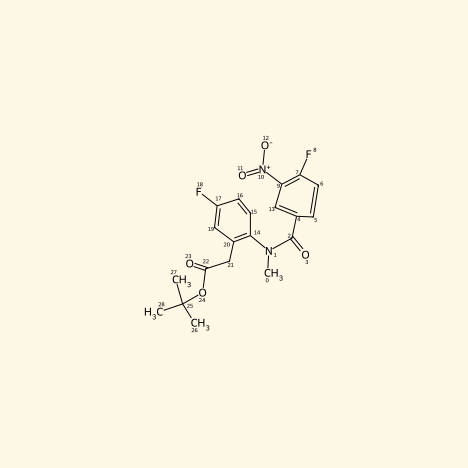 CN(C(=O)c1ccc(F)c([N+](=O)[O-])c1)c1ccc(F)cc1CC(=O)OC(C)(C)C